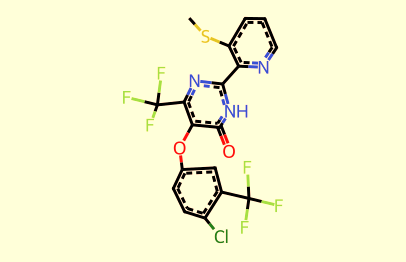 CSc1cccnc1-c1nc(C(F)(F)F)c(Oc2ccc(Cl)c(C(F)(F)F)c2)c(=O)[nH]1